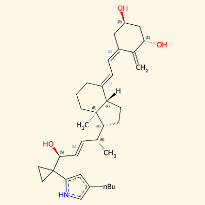 C=C1/C(=C\C=C2/CCC[C@]3(C)[C@@H]([C@H](C)/C=C/[C@H](O)C4(c5cc(CCCC)c[nH]5)CC4)CC[C@@H]23)C[C@@H](O)C[C@@H]1O